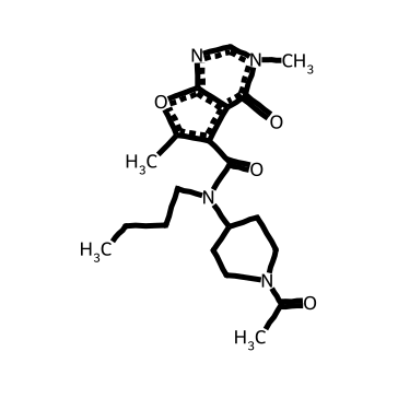 CCCCN(C(=O)c1c(C)oc2ncn(C)c(=O)c12)C1CCN(C(C)=O)CC1